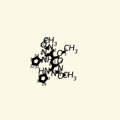 CCOC(=O)C(Cc1cnc(OC)nc1NC1CCCC1)c1cnc(OC)nc1NC1CCCC1